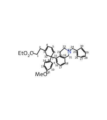 CCOC(=O)CCC1=CC=CC(c2ccc(OC)cc2)(c2cccc3c2CCN(Cc2ccccc2)C3)C1